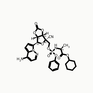 C[C@H](NP(=O)(OC[C@@]1(C#N)O[C@@H](c2ccc3c(N)ccnn23)[C@@H]2OC(=O)O[C@@H]21)Oc1ccccc1)C(=O)OC1CCCCC1